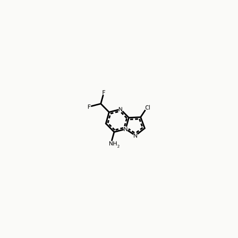 Nc1cc(C(F)F)nc2c(Cl)cnn12